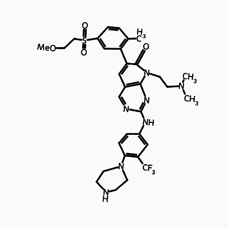 COCCS(=O)(=O)c1ccc(C)c(-c2cc3cnc(Nc4ccc(N5CCNCC5)c(C(F)(F)F)c4)nc3n(CCN(C)C)c2=O)c1